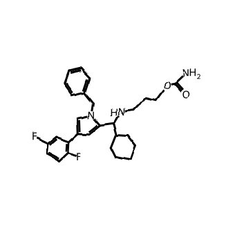 NC(=O)OCCCNC(c1cc(-c2cc(F)ccc2F)cn1Cc1ccccc1)C1CCCCC1